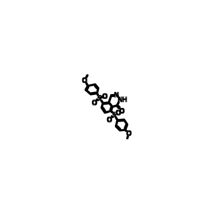 COc1ccc(S(=O)(=O)c2ccc(S(=O)(=O)c3ccc(OC)cc3)c3c(=O)[nH]ncc23)cc1